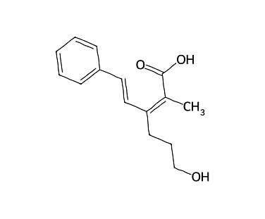 CC(C(=O)O)=C(C=Cc1ccccc1)CCCO